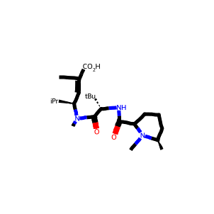 C/C(=C\[C@H](C(C)C)N(C)C(=O)[C@@H](NC(=O)C1CCC[C@@H](C)N1C)C(C)(C)C)C(=O)O